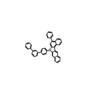 c1ccc(-c2cccc(-c3ccc(-n4c5cc6ccccc6cc5c5c6ccccc6c(-c6ccccc6)cc54)cc3)c2)cc1